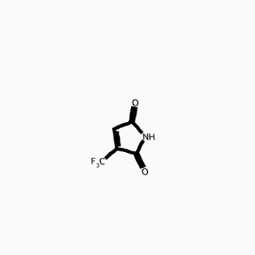 O=C1C=C(C(F)(F)F)C(=O)N1